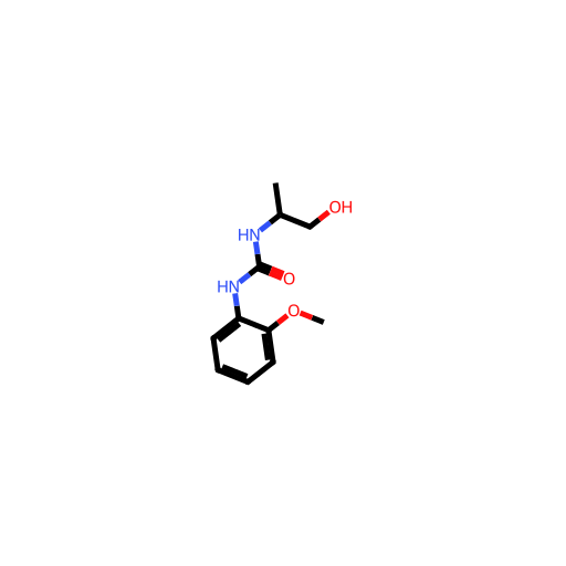 COc1ccccc1NC(=O)NC(C)CO